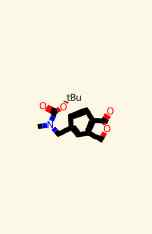 CN(Cc1ccc2c(c1)COC2=O)C(=O)OC(C)(C)C